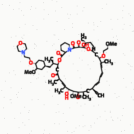 C#C[C@@H]1/C=C/C=C/C=C(\C)C(OCCOC)C[C@@H]2CC[C@@H](C)[C@@](O)(O2)C(=O)C(=O)N2CCCCC2C(=O)O[C@H]([C@H](C)C[C@@H]2CC[C@@H](OCCN3CCOCC3)[C@H](OC)C2)CC(=O)[C@H](C)/C=C(\C)[C@@H](O)[C@@H](OC)C(=O)[C@H](C)C1